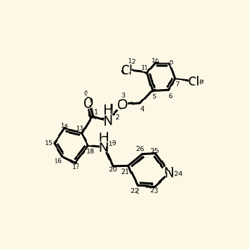 O=C(NOCc1cc(Cl)ccc1Cl)c1ccccc1NCc1ccncc1